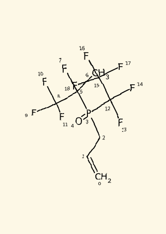 C=CCP(=O)(C(C)(F)C(F)(F)F)C(F)(F)C(F)(F)F